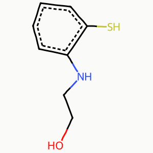 OCCNc1ccccc1S